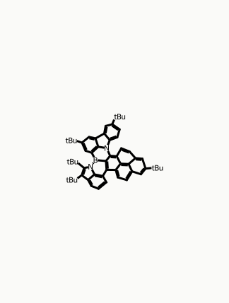 CC(C)(C)c1cc2ccc3c4c5c(c6ccc(c1)c2c36)-n1c2ccc(C(C)(C)C)cc2c2cc(C(C)(C)C)cc(c21)B5n1c(C(C)(C)C)c(C(C)(C)C)c2cccc-4c21